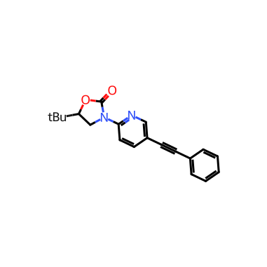 CC(C)(C)C1CN(c2ccc(C#Cc3ccccc3)cn2)C(=O)O1